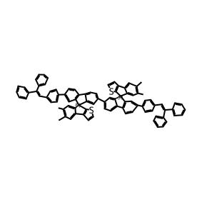 Cc1cc2c(cc1C)[C@]1(c3cc(-c4ccc(C=C(c5ccccc5)c5ccccc5)cc4)ccc3-c3ccc(-c4ccc5c(c4)[C@]4(c6cc(-c7ccc(C=C(c8ccccc8)c8ccccc8)cc7)ccc6-5)c5cc(C)c(C)cc5-c5ccsc54)cc31)c1sccc1-2